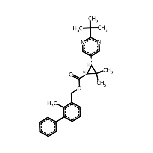 Cc1c(COC(=O)[C@H]2[C@H](c3cnc(C(C)(C)C)nc3)C2(C)C)cccc1-c1ccccc1